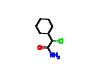 NC(=O)C(Cl)C1CCCCC1